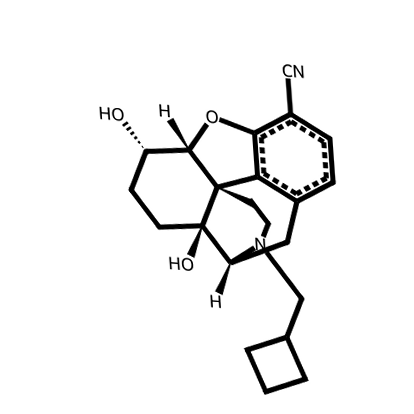 N#Cc1ccc2c3c1O[C@H]1[C@@H](O)CC[C@@]4(O)[C@@H](C2)N(CC2CCC2)CC[C@]314